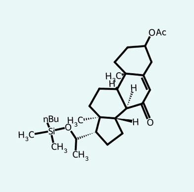 CCCC[Si](C)(C)OC(C)[C@H]1CC[C@H]2[C@@H]3C(=O)C=C4CC(OC(C)=O)CC[C@]4(C)[C@H]3CC[C@]12C